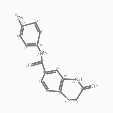 O=C1CSc2ccc(C(=O)Nc3ccc(S)cc3)cc2N1